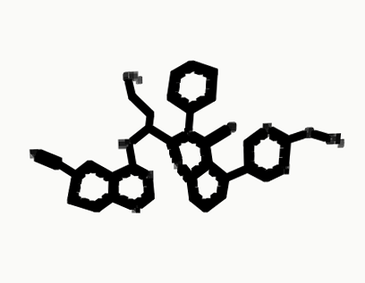 CCCC(Nc1ncnc2ccc(C#N)cc12)c1nc2cccc(-c3cnc(OC)nc3)c2c(=O)n1-c1ccccc1